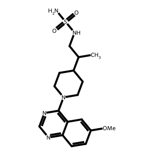 COc1ccc2ncnc(N3CCC(C(C)CNS(N)(=O)=O)CC3)c2c1